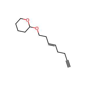 C#CCC/C=C/CCOC1CCCCO1